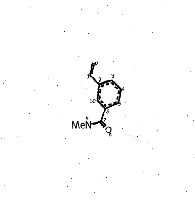 C=Cc1cccc(C(=O)NC)c1